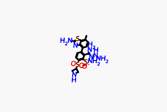 Cc1ccc(-c2ccc(S(=O)(=O)C3CNC3)c([S+](N)[O-])c2/C(N)=N/NN)c2nc(N)sc12